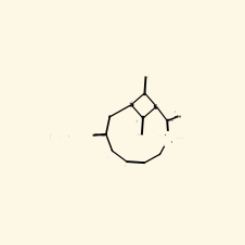 CCCCCC1CCCCNC(CC)C2C(C)C(C1)C2C